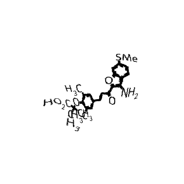 CSc1ccc2c(N)c(C(=O)/C=C/c3cc(C)c(OC(C)(C)C(=O)O)c(C)c3)oc2c1